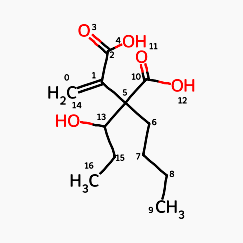 C=C(C(=O)O)C(CCCC)(C(=O)O)C(O)CC